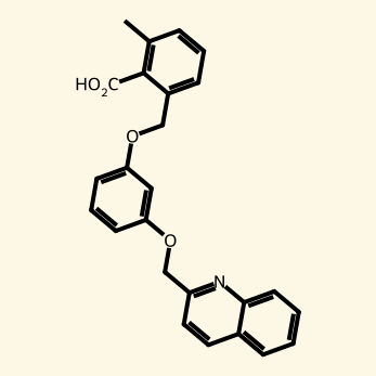 Cc1cccc(COc2cccc(OCc3ccc4ccccc4n3)c2)c1C(=O)O